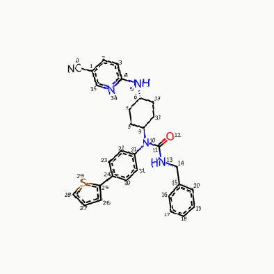 N#Cc1ccc(N[C@H]2CC[C@H](N(C(=O)NCc3ccccc3)c3ccc(-c4cccs4)cc3)CC2)nc1